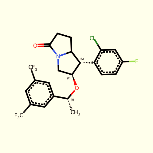 C[C@@H](O[C@H]1CN2C(=O)CCC2[C@@H]1c1ccc(F)cc1Cl)c1cc(C(F)(F)F)cc(C(F)(F)F)c1